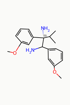 COc1cccc(C(N)[C@@](N)(c2cccc(OC)c2)C(C)C)c1